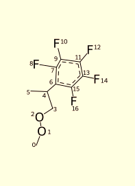 COOCC(C)c1c(F)c(F)c(F)c(F)c1F